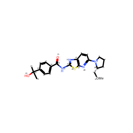 COC[C@H]1CCCN1c1ccc2nc(NC(=O)c3ccc(C(C)(C)O)cc3)sc2n1